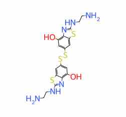 NCCNc1nc2c(O)cc(SSc3cc(O)c4nc(NCCN)sc4c3)cc2s1